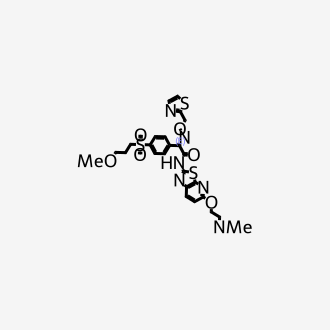 CNCCOc1ccc2nc(NC(=O)/C(=N/OCc3nccs3)c3ccc(S(=O)(=O)CCCOC)cc3)sc2n1